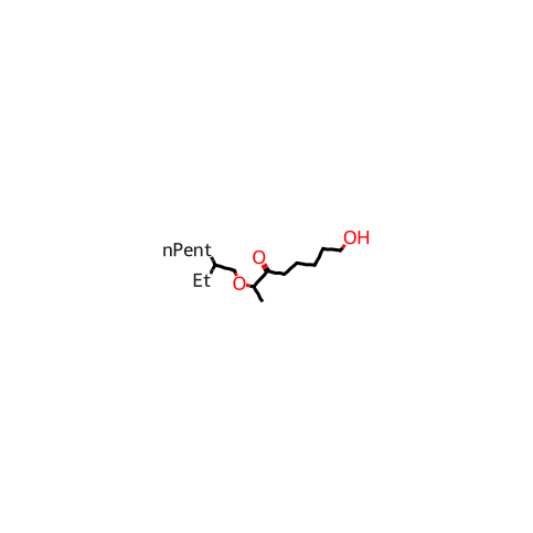 CCCCCC(CC)COC(C)C(=O)CCCCCO